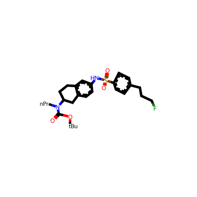 CCCN(C(=O)OC(C)(C)C)C1CCc2cc(NS(=O)(=O)c3ccc(CCCF)cc3)ccc2C1